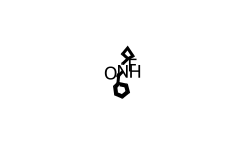 O=C(NCC1(F)CCC1)c1ccccc1